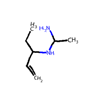 C=CC(CC)NC(C)N